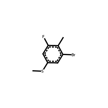 CSc1cc(F)c(C)c(Br)c1